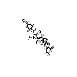 O=C(CCc1ccc(F)cc1)NC(=Cc1ccc(Oc2ccccc2I)cc1)C(=O)O